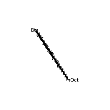 CCCCCCCC/C=C/CCCCCCCCOCCOCCOCCOCCOCCOCCOCCOCCOCCOCC